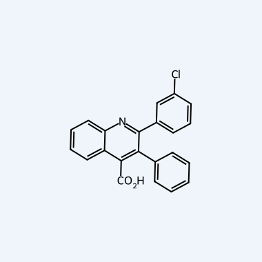 O=C(O)c1c(-c2ccccc2)c(-c2cccc(Cl)c2)nc2ccccc12